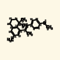 COc1ccc(C=C(C)c2cc(C)cc3c2C(C)(C)CCC3)cc1